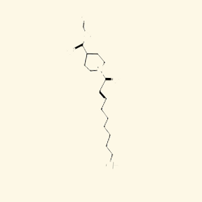 CCCCCCCC=CC(=O)N1CCC(C(=O)OCC)CC1